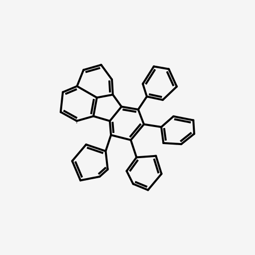 [c]1ccc2cccc3c2c1-c1c(-c2ccccc2)c(-c2ccccc2)c(-c2ccccc2)c(-c2ccccc2)c1-3